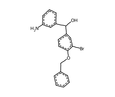 Nc1cccc(C(O)c2ccc(OCc3ccccc3)c(Br)c2)c1